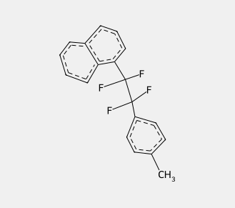 Cc1ccc(C(F)(F)C(F)(F)c2cccc3ccccc23)cc1